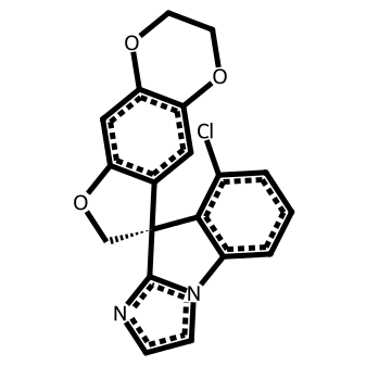 Clc1cccc2c1[C@@]1(COc3cc4c(cc31)OCCO4)c1nccn1-2